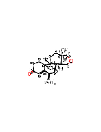 C=C1C[C@@H]2[C@@H](CC[C@]3(C)COC[C@@H]23)[C@@]2(C)CCC(=O)C=C12